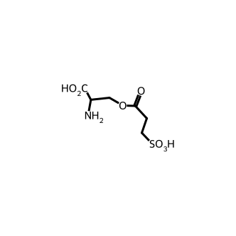 NC(COC(=O)CCS(=O)(=O)O)C(=O)O